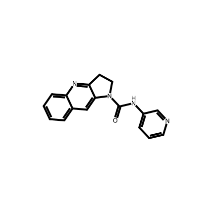 O=C(Nc1cccnc1)N1CCc2nc3ccccc3cc21